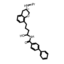 CCCN[C@@H]1COc2c(CCCC(O)NC(=O)c3ccc(-c4ccccc4)cc3)cccc2C1